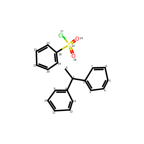 CC(c1ccccc1)c1ccccc1.O=S(=O)(Cl)c1ccccc1